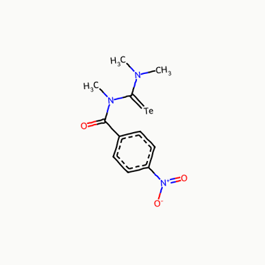 CN(C)C(=[Te])N(C)C(=O)c1ccc([N+](=O)[O-])cc1